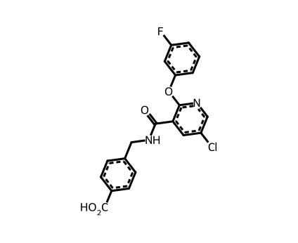 O=C(O)c1ccc(CNC(=O)c2cc(Cl)cnc2Oc2cccc(F)c2)cc1